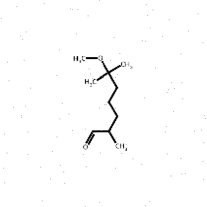 COC(C)(C)CCCC(C)C=O